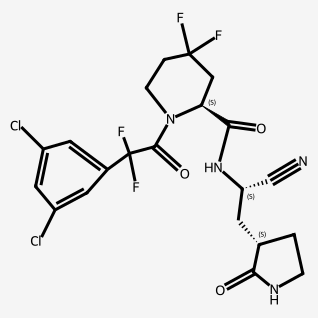 N#C[C@H](C[C@@H]1CCNC1=O)NC(=O)[C@@H]1CC(F)(F)CCN1C(=O)C(F)(F)c1cc(Cl)cc(Cl)c1